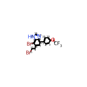 FC(F)(F)Oc1ccc(-c2cc(CCBr)c(Br)c3[nH]cnc23)cc1